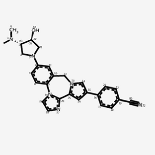 CN(C)[C@H]1CN(c2ccc3c(c2)Cn2cc(-c4ccc(C#N)cc4)cc2-c2nccn2-3)C[C@@H]1O